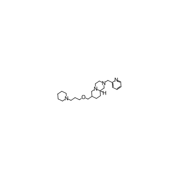 c1ccc(CN2CCN3CC(COCCCN4CCCCC4)CC[C@H]3C2)nc1